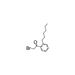 CCCCCCc1ccccc1C(=O)CBr